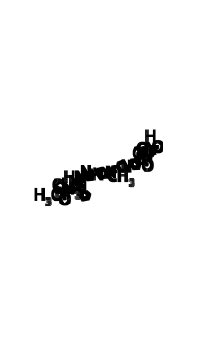 CN(C)C(=O)c1cc2c(-c3ccccc3)nc(Nc3ccc(N4CCC(N(C)CC5CCN(c6ccc7c(c6)C(=O)N(N6CCC(=O)NC6=O)C7=O)CC5)CC4)cn3)nc2n1Cl